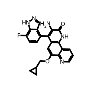 Nc1c(-c2ccc(F)c3[nH]ncc23)c2cc(OCC3CC3)c3ncccc3c2[nH]c1=O